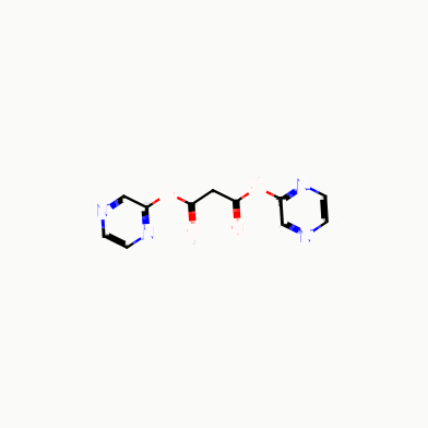 O=C(CC(=O)Oc1cnccn1)Oc1cnccn1